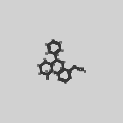 COc1cccc(F)c1OC(c1ccccn1)C1CNCCO1